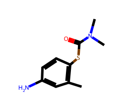 Cc1cc(N)ccc1SC(=O)N(C)C